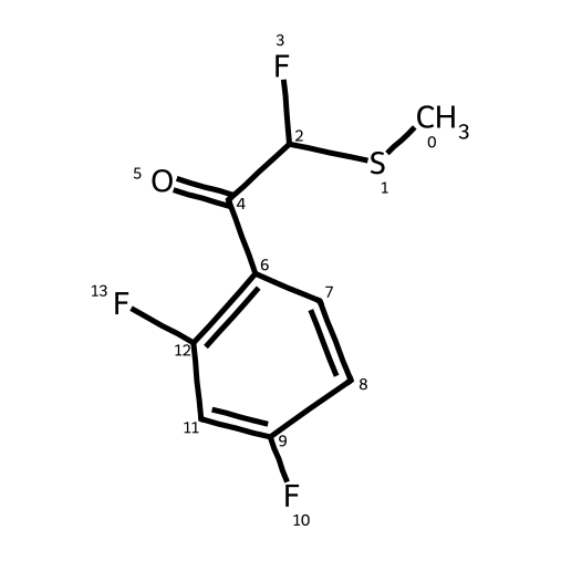 CSC(F)C(=O)c1ccc(F)cc1F